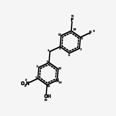 O=[N+]([O-])c1cc(Cc2ccc(F)c(F)c2)cnc1O